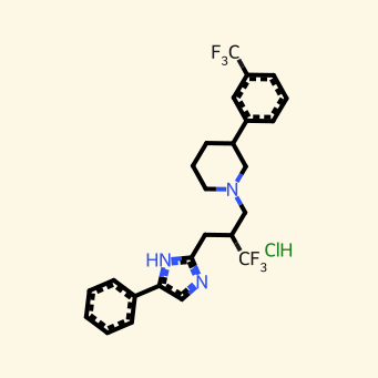 Cl.FC(F)(F)c1cccc(C2CCCN(CC(Cc3ncc(-c4ccccc4)[nH]3)C(F)(F)F)C2)c1